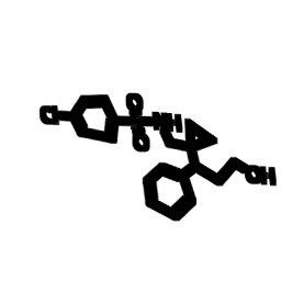 O=S(=O)(NCC1(C(CCO)c2ccccc2)CC1)c1ccc(Cl)cc1